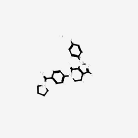 COc1ccc(-n2nc(C)c3c2C(=O)N(c2ccc(C(=N)N4CCCC4)cc2)CC3)cc1